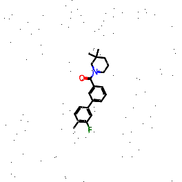 Cc1ccc(-c2cccc(C(=O)N3CCCC(C)(C)C3)c2)cc1F